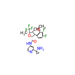 COc1c([C@H]2[C@H](C(=O)Nc3ccnc(C4(N)CC4)c3)O[C@@](C)(C(F)(F)F)[C@H]2C)ccc(F)c1F